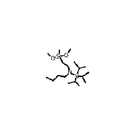 CCCCN(CC[Si](C)(OC)OC)[Si](C(C)C)(C(C)C)C(C)C